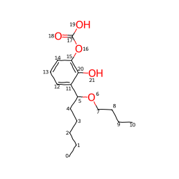 CCCCCC(OCCCC)c1cccc(OC(=O)O)c1O